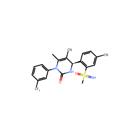 CC1=C(C#N)[C@@H](c2ccc(C#N)cc2S(C)(=N)=O)NC(=O)N1c1cccc(C(F)(F)F)c1